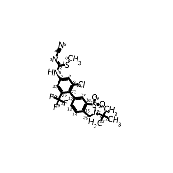 CS/C(=N\C#N)Nc1cc(Cl)c(-c2ccc3c(c2)S(=O)(=O)N(C(C)(C)C)C3)c(C(F)(F)F)c1